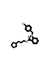 Clc1ccc(Cn2nc(OCCCC3CCCC3)c3ccccc32)cc1